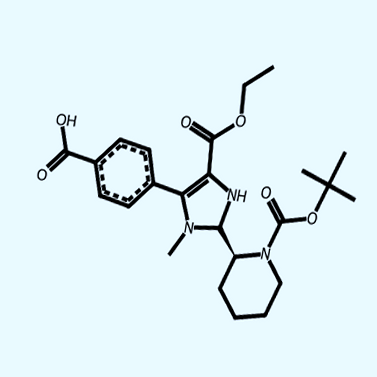 CCOC(=O)C1=C(c2ccc(C(=O)O)cc2)N(C)C([C@@H]2CCCCN2C(=O)OC(C)(C)C)N1